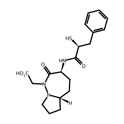 O=C(O)CN1C(=O)[C@@H](NC(=O)[C@@H](S)Cc2ccccc2)CC[C@@H]2CCCN21